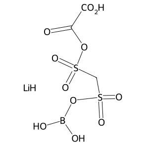 O=C(O)C(=O)OS(=O)(=O)CS(=O)(=O)OB(O)O.[LiH]